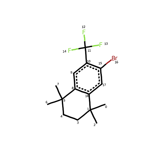 CC1(C)CCC(C)(C)c2cc(C(F)(F)F)c(Br)cc21